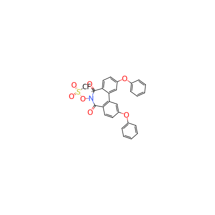 O=c1c2ccc(Oc3ccccc3)cc2c2cc(Oc3ccccc3)ccc2c(=O)n1OS(=O)(=O)C(F)(F)F